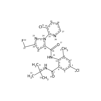 Cc1cc(Cl)cc(C(=O)NC(C)(C)C)c1NC(=O)c1cc(CF)nn1-c1ncccc1Cl